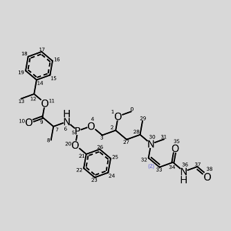 COC(COP(NC(C)C(=O)OC(C)c1ccccc1)Oc1ccccc1)CC(C)N(C)/C=C\C(=O)NC=O